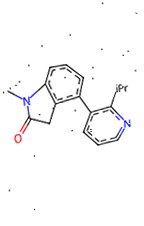 CC(C)c1ncccc1-c1cccc2c1CC(=O)N2C